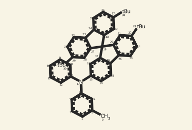 Cc1cccc(N(c2ccccc2)c2ccc3c(c2)C2(c4cc(C(C)(C)C)ccc4-3)c3cc(C(C)(C)C)ccc3-c3ccc(C(C)(C)C)cc32)c1